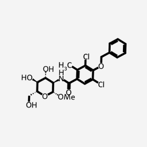 CO[C@@H]1O[C@H](CO)[C@@H](O)[C@H](O)[C@H]1NC(=O)c1cc(Cl)c(OCc2ccccc2)c(Cl)c1C